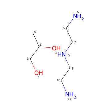 CC(O)CO.NCCNCCN